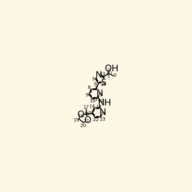 C[C@H](O)c1ncc(-c2cccc(Nc3cc(C4(C)OCCO4)ccn3)n2)s1